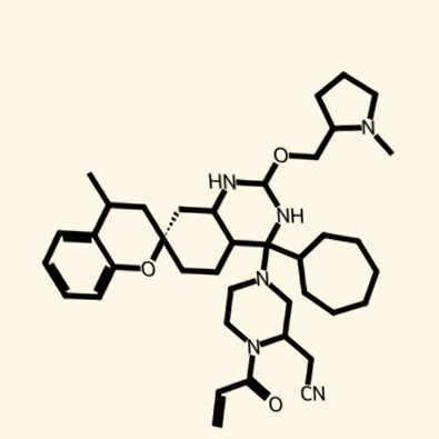 C=CC(=O)N1CCN(C2(C3CCCCCC3)NC(OCC3CCCN3C)NC3C[C@@]4(CCC32)CC(C)c2ccccc2O4)CC1CC#N